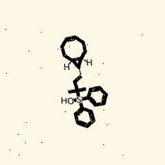 CC(C)(CC[C@H]1[C@@H]2CC/C=C\CC[C@@H]21)[Si](O)(c1ccccc1)c1ccccc1